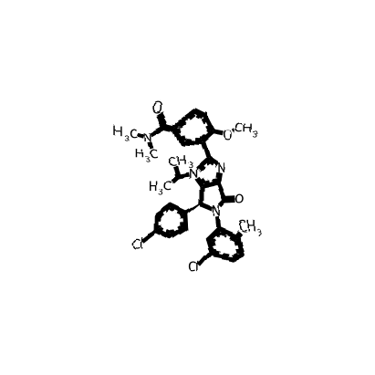 COc1ccc(C(=O)N(C)C)cc1-c1nc2c(n1C(C)C)[C@H](c1ccc(Cl)cc1)N(c1cc(Cl)ccc1C)C2=O